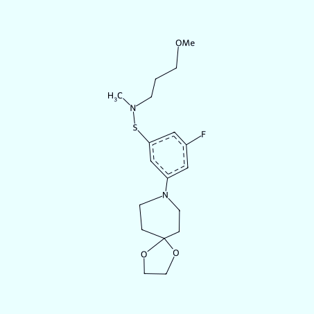 COCCCN(C)Sc1cc(F)cc(N2CCC3(CC2)OCCO3)c1